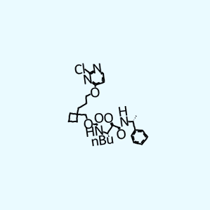 CCCC[C@H](NC(=O)OCC1(CCCOc2ccnc(Cl)n2)CCC1)C(=O)C(=O)N[C@H](C)c1ccccc1